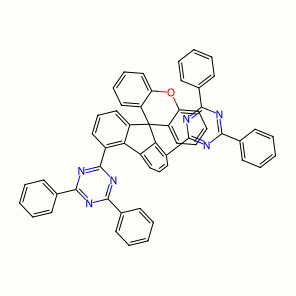 c1ccc(-c2nc(-c3ccccc3)nc(-c3cccc4c3-c3cccc(-c5nc(-c6ccccc6)nc(-c6ccccc6)n5)c3C43c4ccccc4Oc4ccccc43)n2)cc1